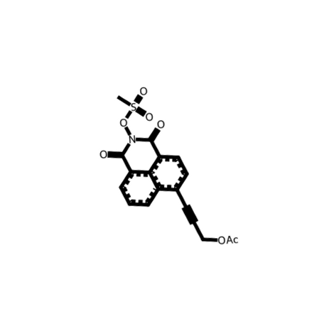 CC(=O)OCC#Cc1ccc2c3c(cccc13)C(=O)N(OS(C)(=O)=O)C2=O